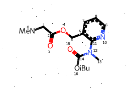 CNCC(=O)OCc1cccnc1N(C)C(=O)OCC(C)C